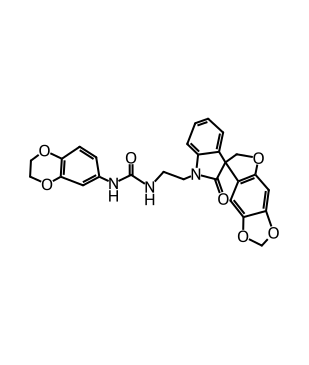 O=C(NCCN1C(=O)C2(COc3cc4c(cc32)OCO4)c2ccccc21)Nc1ccc2c(c1)OCCO2